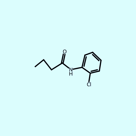 CCCC(=O)Nc1ccccc1Cl